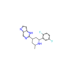 CC1CC(c2ncc3nccc-3[nH]2)CC(c2cc(F)ccc2F)N1